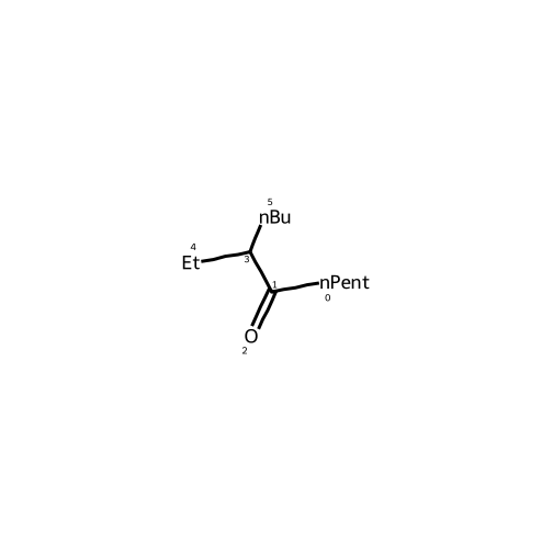 CCCCCC(=O)C(CC)CCCC